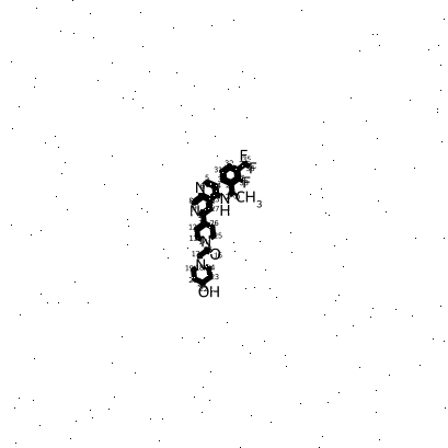 C[C@@H](Nc1ccnc2cnc(C3=CCN(C(=O)CN4CCC(O)CC4)CC3)cc12)c1cccc(C(F)F)c1F